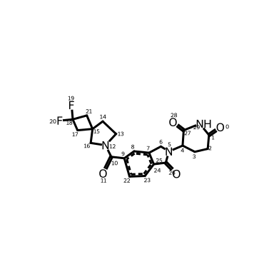 O=C1CCC(N2Cc3cc(C(=O)N4CCC5(C4)CC(F)(F)C5)ccc3C2=O)C(=O)N1